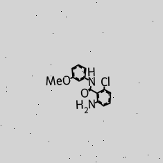 COc1cccc(NC(=O)c2c(N)cccc2Cl)c1